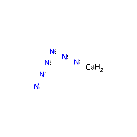 [CaH2].[N].[N].[N].[N].[N].[N]